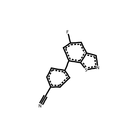 N#Cc1ccc(-c2cc(F)cc3cnsc23)cc1